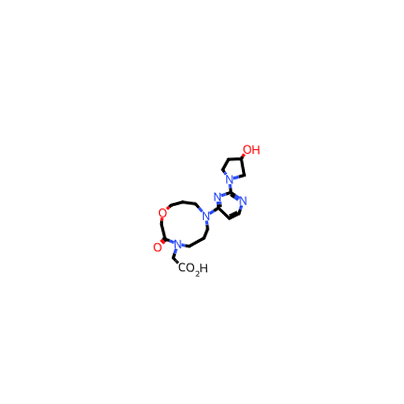 O=C(O)CN1CCCN(c2ccnc(N3CCC(O)C3)n2)CCCOCC1=O